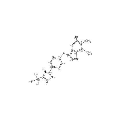 Cc1c(Br)cc2c(nnn2Cc2ccc(-c3noc(C(F)(F)F)n3)cc2)c1C